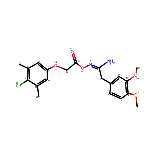 COc1ccc(C/C(N)=N\OC(=O)COc2cc(C)c(Cl)c(C)c2)cc1OC